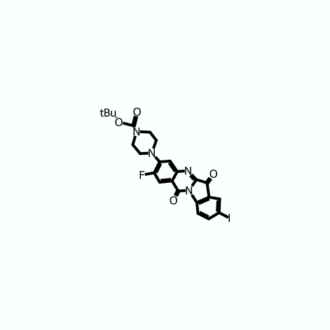 CC(C)(C)OC(=O)N1CCN(c2cc3nc4n(c(=O)c3cc2F)-c2ccc(I)cc2C4=O)CC1